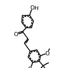 COc1cc(C=CC(=O)c2ccc(O)cc2)cc(OC)c1C(C)(C)C